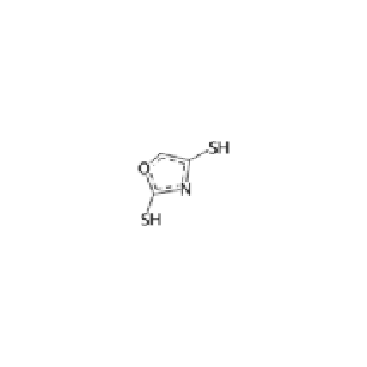 Sc1coc(S)n1